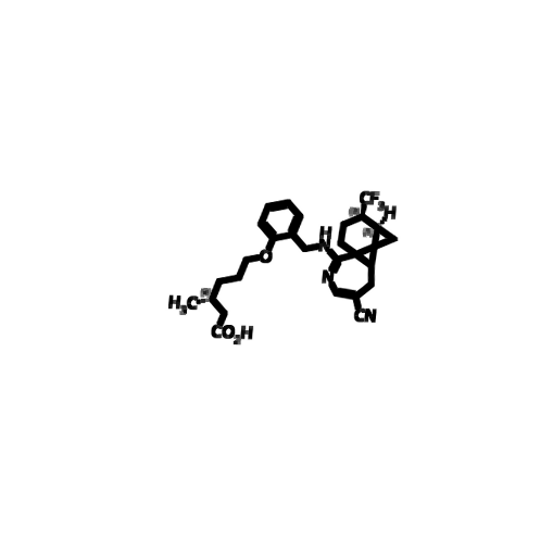 C[C@H](CCCOc1ccccc1CNC1=NC=C(C#N)CC2C13CC[C@@H](C(F)(F)F)[C@H]1CC213)CC(=O)O